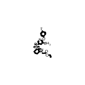 Bc1cc(S(=O)(=O)N(C)[C@@H]2CCCc3c2cnn3CC(=O)OCC)cnc1Oc1ccc(F)cc1